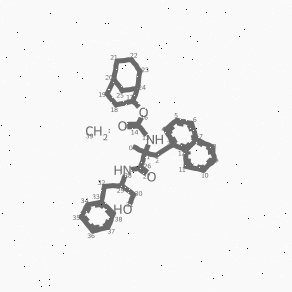 CC(Cc1cccc2ccccc12)(NC(=O)OC1CCC2CCCC1C2)C(=O)NC(CO)Cc1ccccc1.[CH2]